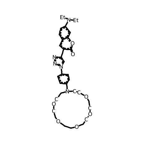 CCN(CC)c1ccc2cc(-c3cn(-c4ccc(N5CCOCCOCCOCCOCCOCC5)cc4)nn3)c(=O)oc2c1